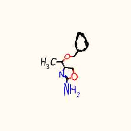 CC(OCc1ccccc1)[C@H]1COC(N)=N1